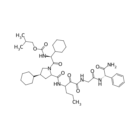 CCCC(NC(=O)C1C[C@@H](C2CCCCC2)CN1C(=O)[C@@H](NC(=O)OCC(C)C)C1CCCCC1)C(=O)C(=O)NCC(=O)N[C@H](C(N)=O)c1ccccc1